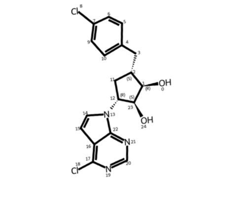 O[C@@H]1[C@@H](Cc2ccc(Cl)cc2)C[C@@H](n2ccc3c(Cl)ncnc32)[C@@H]1O